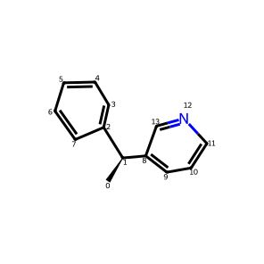 C[C@@H](c1ccccc1)c1cccnc1